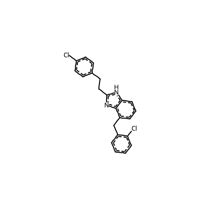 Clc1ccc(CCc2nc3c(Cc4ccccc4Cl)cccc3[nH]2)cc1